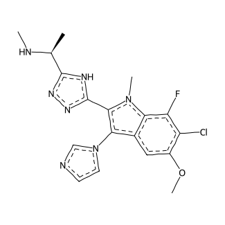 CN[C@@H](C)c1nnc(-c2c(-n3ccnc3)c3cc(OC)c(Cl)c(F)c3n2C)[nH]1